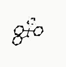 O=C(c1ccccc1)C(c1ccccc1)(c1ccccc1)n1cncn1